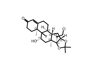 CC1(C)O[C@H]2C[C@H]3[C@@H]4CCC5=CC(=O)CC[C@]5(C)C4(F)[C@@H](O)C[C@]3(C)[C@]2(C(=O)CCl)O1